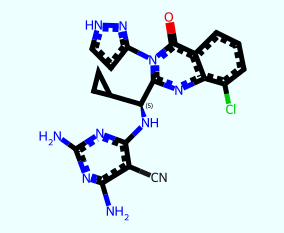 N#Cc1c(N)nc(N)nc1N[C@H](c1nc2c(Cl)cccc2c(=O)n1-c1cc[nH]n1)C1CC1